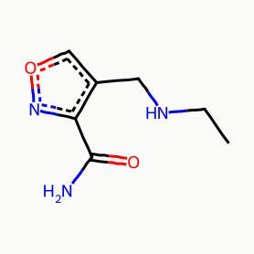 CCNCc1conc1C(N)=O